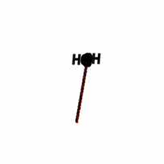 CCCCCCCCCCCCCCCCCCCCCCCCCCCCCCCCCCCCOB(O)O